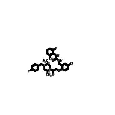 C[C@@H]1CN(C(=O)COc2ccc(Cl)cc2CNC(=O)Nc2c(F)cccc2C(F)(F)F)[C@@H](C)CN1Cc1ccc(F)cc1